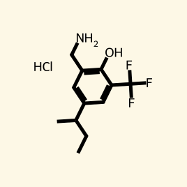 CCC(C)c1cc(CN)c(O)c(C(F)(F)F)c1.Cl